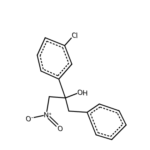 O=[N+]([O-])CC(O)(Cc1ccccc1)c1cccc(Cl)c1